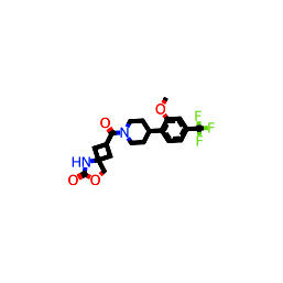 COc1cc(C(F)(F)F)ccc1C1CCN(C(=O)C2CC3(COC(=O)N3)C2)CC1